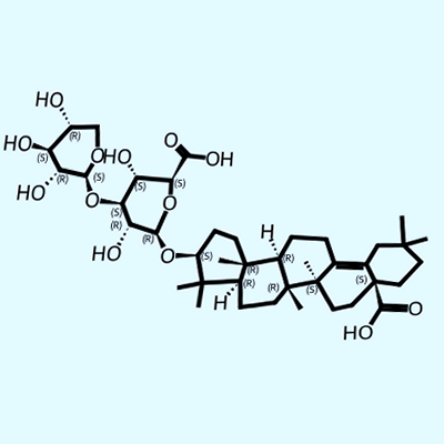 CC1(C)CC[C@]2(C(=O)O)CC[C@]3(C)C(=C2C1)CC[C@@H]1[C@@]2(C)CC[C@H](O[C@@H]4O[C@H](C(=O)O)[C@@H](O)[C@H](O[C@@H]5OC[C@@H](O)[C@H](O)[C@H]5O)[C@H]4O)C(C)(C)[C@@H]2CC[C@]13C